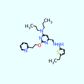 CCCN(CCC)c1cc(/C=N/Nc2ccc(CC)s2)nc(OCCc2ccccn2)n1